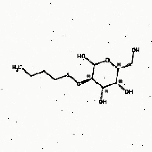 CCCCSO[C@H]1C(O)O[C@H](CO)[C@H](O)[C@@H]1O